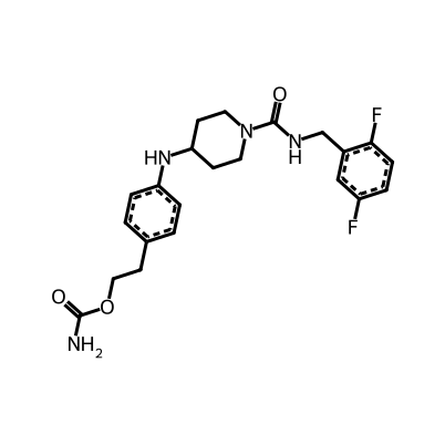 NC(=O)OCCc1ccc(NC2CCN(C(=O)NCc3cc(F)ccc3F)CC2)cc1